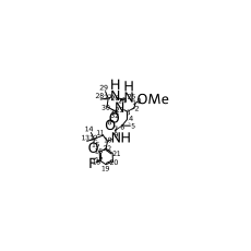 COCC[C@@H]([C@@H]1C[C@H]1C(=O)NC1CC(C)(C)Oc2c(F)cccc21)N1C(=N)NC(C)(C)CC1=O